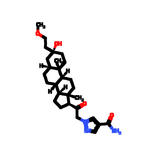 COCC[C@@]1(O)CC[C@@]2(C)[C@@H](CC[C@@H]3[C@@H]2CC[C@]2(C)[C@@H](C(=O)Cn4cc(C(N)=O)cn4)CC[C@@H]32)C1